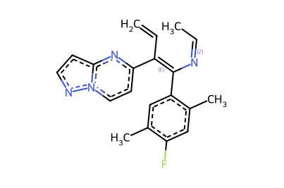 C=C/C(=C(\N=C/C)c1cc(C)c(F)cc1C)c1ccn2nccc2n1